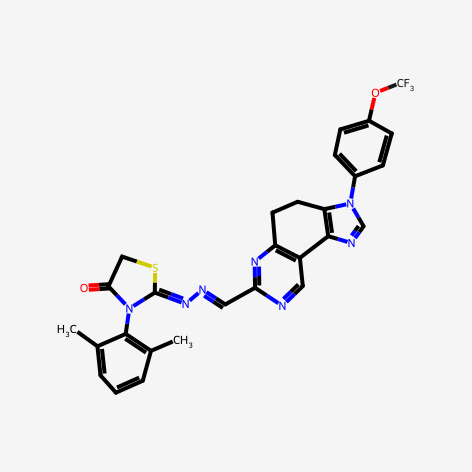 Cc1cccc(C)c1N1C(=O)CSC1=NN=Cc1ncc2c(n1)CCc1c-2ncn1-c1ccc(OC(F)(F)F)cc1